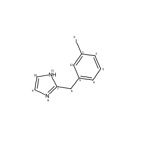 Ic1cccc(Cc2ncc[nH]2)c1